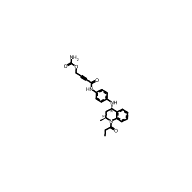 CCC(=O)N1c2ccccc2[C@H](Nc2ccc(NC(=O)C#CCOC(N)=O)cc2)C[C@@H]1C